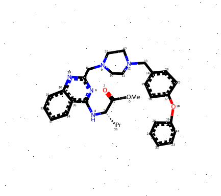 COC(=O)[C@@H](Nc1nc(CN2CCN(Cc3ccc(Oc4ccccc4)cc3)CC2)nc2ccccc12)C(C)C